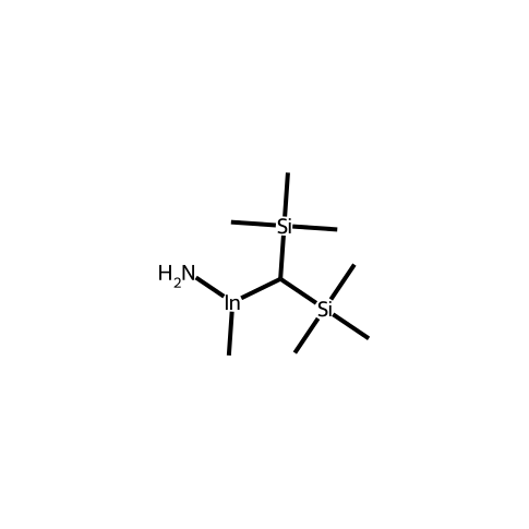 [CH3][In]([NH2])[CH]([Si](C)(C)C)[Si](C)(C)C